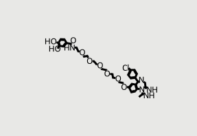 CC(=N)N1C(=N)CN=C(c2ccc(Cl)cc2)c2cc(OCCOCCOCCOCCOCCOCCNC(=O)c3ccc(O)c(O)c3)ccc21